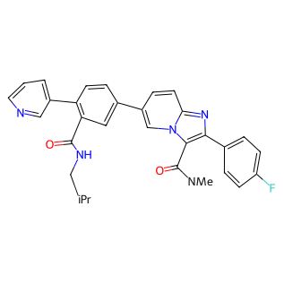 CNC(=O)c1c(-c2ccc(F)cc2)nc2ccc(-c3ccc(-c4cccnc4)c(C(=O)NCC(C)C)c3)cn12